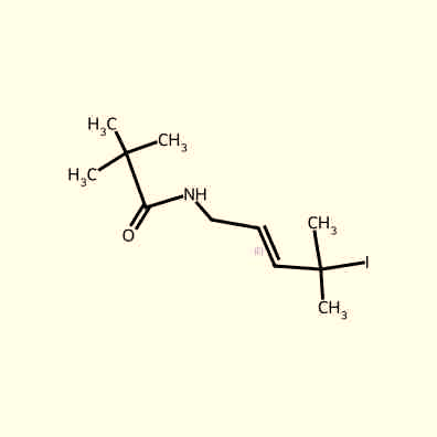 CC(C)(I)/C=C/CNC(=O)C(C)(C)C